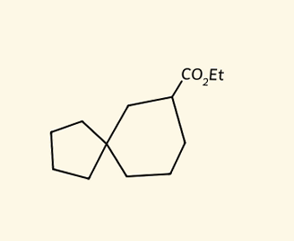 CCOC(=O)C1CCCC2(CCCC2)C1